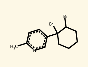 Cc1ccc(C2(Br)CCCCC2Br)cn1